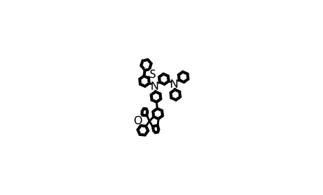 c1ccc(N(c2ccccc2)c2cccc(N(c3ccc(-c4ccc5c(c4)C4(c6ccccc6Oc6ccccc64)c4ccccc4-5)cc3)c3cccc4c3sc3ccccc34)c2)cc1